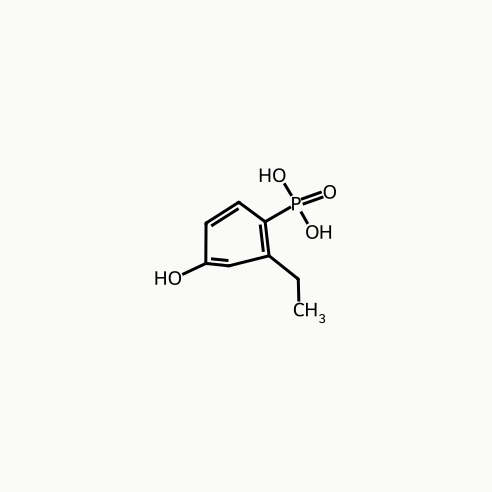 CCc1cc(O)ccc1P(=O)(O)O